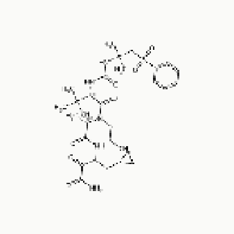 CCCN(C(=O)[C@@H](NC(=O)NC(C)(C)CS(=O)(=O)c1ccccc1)C(C)(C)C)[C@@H](C)C(=O)NC(CC1CC1)C(=O)C(N)=O